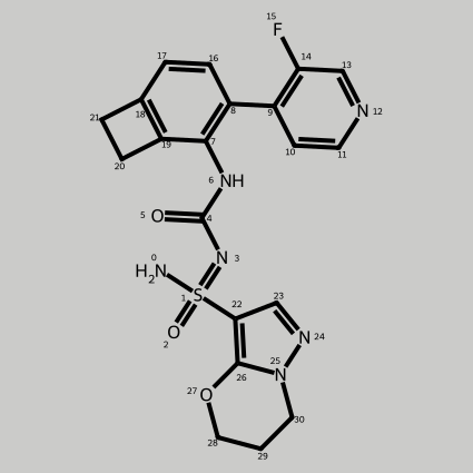 NS(=O)(=NC(=O)Nc1c(-c2ccncc2F)ccc2c1CC2)c1cnn2c1OCCC2